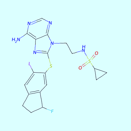 Nc1ncnc2c1nc(Sc1cc3c(cc1I)CCC3F)n2CCNS(=O)(=O)C1CC1